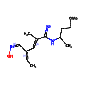 C/C=C(/C=N\O)\C=C(/C)C(=N)NC(C)CCOC